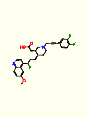 COc1ccc2nccc(C(F)CC[C@@H]3CCN(CC#Cc4ccc(F)c(F)c4)C[C@@H]3CC(=O)O)c2c1